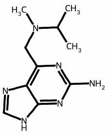 CC(C)N(C)Cc1nc(N)nc2[nH]cnc12